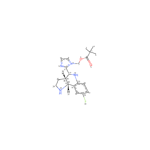 CC(C)(C)C(=O)OCn1ccnc1C1Nc2ccc(F)cc2[C@@H]2NCC[C@H]12